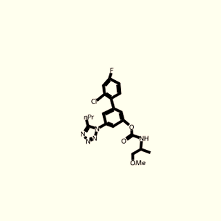 CCCc1nnnn1-c1cc(OC(=O)NC(C)COC)cc(-c2ccc(F)cc2Cl)c1